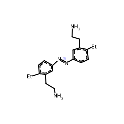 CCc1ccc(/N=N/c2ccc(CC)c(CCN)c2)cc1CCN